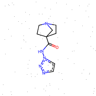 O=C(Nn1ccnn1)C12CCN(CC1)C2